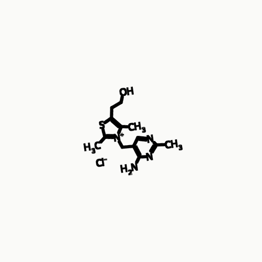 Cc1ncc(C[n+]2c(C)sc(CCO)c2C)c(N)n1.[Cl-]